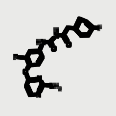 Nc1nccc(Oc2ccc(NC(=O)NC(=O)Cc3ccc(F)cc3)cc2F)n1